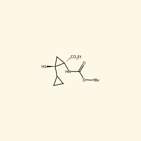 CCOC(=O)[C@@]1(NC(=O)OC(C)(C)C)C[C@@]1(S)C1CC1